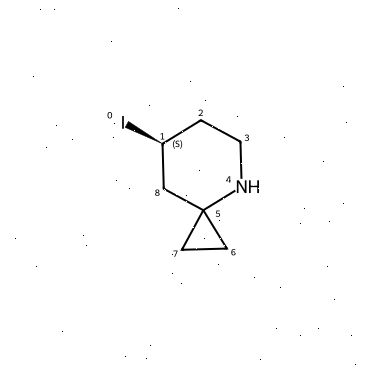 I[C@H]1CCNC2(CC2)C1